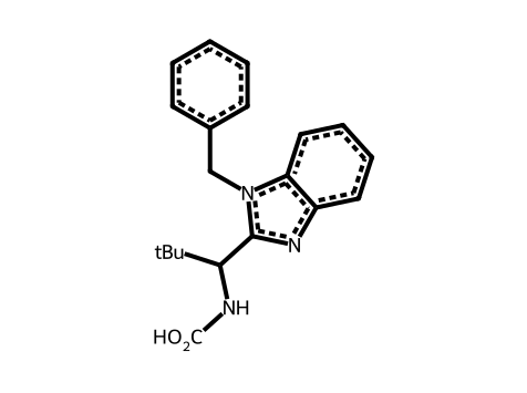 CC(C)(C)C(NC(=O)O)c1nc2ccccc2n1Cc1ccccc1